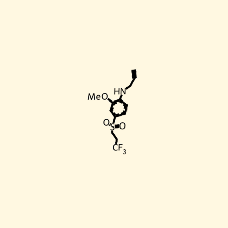 C#CCNc1ccc(S(=O)(=O)CCC(F)(F)F)cc1OC